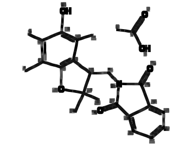 CC(=O)O.Cc1c(C)c2c(c(C)c1O)C(CN1C(=O)c3ccccc3C1=O)C(C)(C)O2